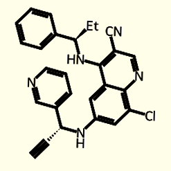 C#C[C@@H](Nc1cc(Cl)c2ncc(C#N)c(N[C@H](CC)c3ccccc3)c2c1)c1cccnc1